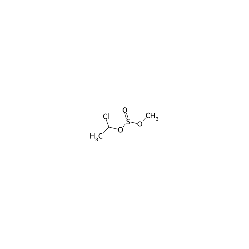 COS(=O)OC(C)Cl